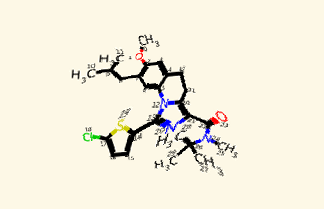 COc1cc2c(cc1CC(C)C)-n1c(-c3ccc(Cl)s3)nc(C(=O)N(C)C(C)(C)C)c1CC2